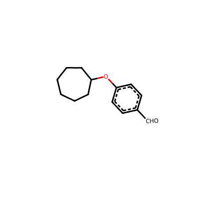 O=Cc1ccc(OC2CCCCCC2)cc1